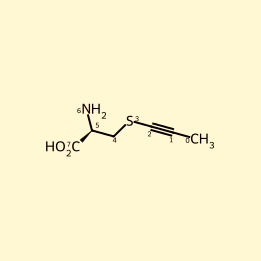 CC#CSC[C@H](N)C(=O)O